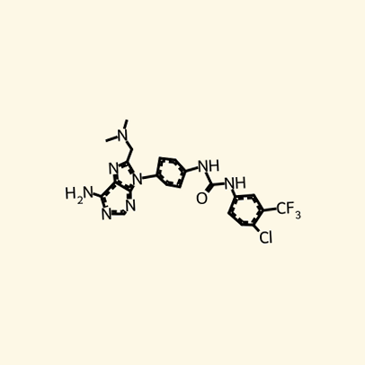 CN(C)Cc1nc2c(N)ncnc2n1-c1ccc(NC(=O)Nc2ccc(Cl)c(C(F)(F)F)c2)cc1